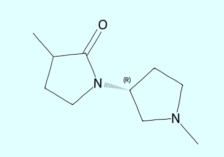 CC1CCN([C@@H]2CCN(C)C2)C1=O